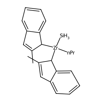 [CH2]C[CH2][Zr]([SiH3])([CH]1C(C)=Cc2ccccc21)[CH]1C(C)=Cc2ccccc21